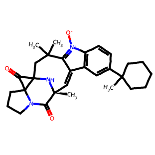 CC1(C)CC23N[C@](C)(/C=C4\C1=[N+]([O-])c1ccc(C5(C)CCCCC5)cc14)C(=O)N1CCCC12C3=O